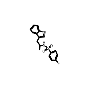 CC(Cc1c[nH]c2ccccc12)NS(=O)(=O)c1ccc(F)cc1